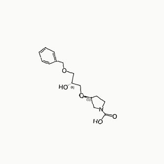 O=C(O)N1CC[C@H](OC[C@H](O)COCc2ccccc2)C1